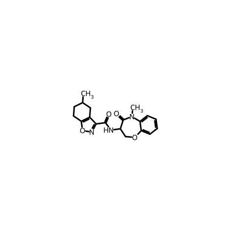 CC1CCc2onc(C(=O)NC3COc4ccccc4N(C)C3=O)c2C1